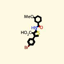 COC1CCCC(C(=O)Nc2scc(-c3ccc(Br)cc3)c2C(=O)O)C1